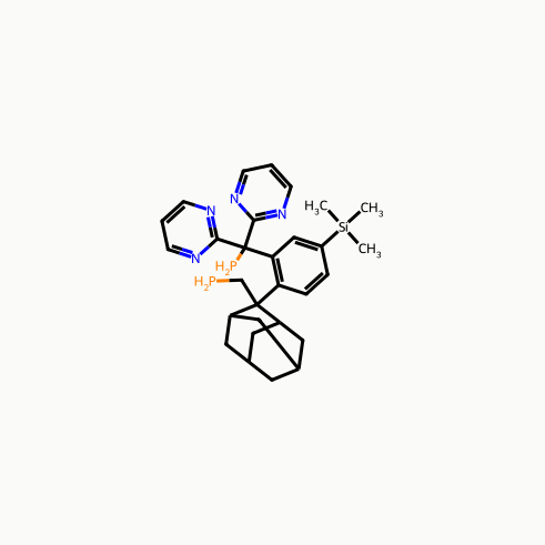 C[Si](C)(C)c1ccc(C2(CP)C3CC4CC(C3)CC2C4)c(C(P)(c2ncccn2)c2ncccn2)c1